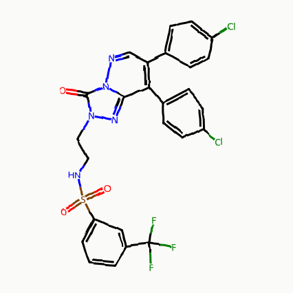 O=c1n(CCNS(=O)(=O)c2cccc(C(F)(F)F)c2)nc2c(-c3ccc(Cl)cc3)c(-c3ccc(Cl)cc3)cnn12